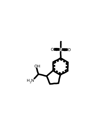 CS(=O)(=O)c1ccc2c(c1)C(C(N)O)CC2